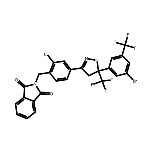 O=C1c2ccccc2C(=O)N1Cc1ccc(C2=NOC(c3cc(Br)cc(C(F)(F)F)c3)(C(F)(F)F)C2)cc1Cl